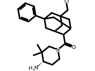 CC1(C)CN(C(=O)C2C3CC4(CCl)CC2CC(c2ccccc2)(C3)C4)CC[C@@H]1N